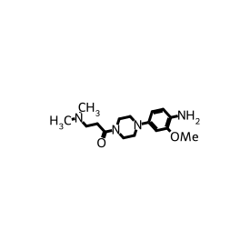 COc1cc(N2CCN(C(=O)CCN(C)C)CC2)ccc1N